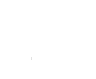 OC(c1ccc(OCc2ccccc2)c(OCc2ccccc2)c1)[C@@H]1CC[C@H](CCc2ccc(OCc3ccccc3)cc2)N1